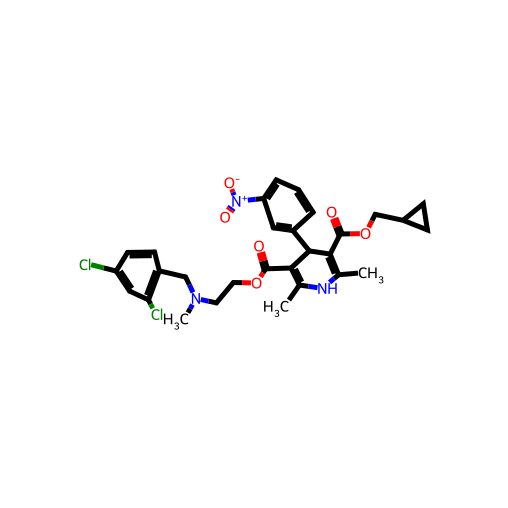 CC1=C(C(=O)OCCN(C)Cc2ccc(Cl)cc2Cl)C(c2cccc([N+](=O)[O-])c2)C(C(=O)OCC2CC2)=C(C)N1